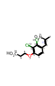 C/C(=C/c1ccc(OCCC(=O)O)c(Cl)c1Cl)[N+](=O)[O-]